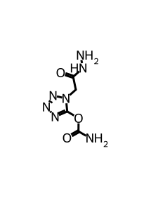 NNC(=O)Cn1nnnc1OC(N)=O